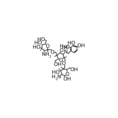 CC1(COCC2(C)C(CO)OC(C)(COCC3(C)C(CO)OC(O)C(N)[C@]3(C)O)C(NCc3ccc(O)c(O)c3O)[C@]2(C)O)OC(CO)C(O)[C@@](C)(O)C1N